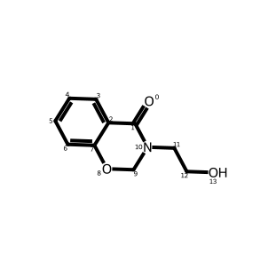 O=C1c2ccccc2OCN1CCO